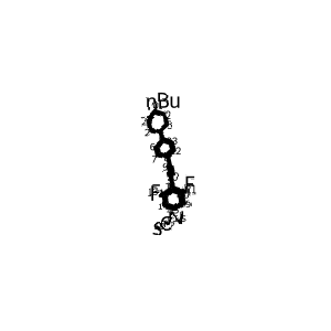 CCCCC1CCC(c2ccc(C#Cc3c(F)cc(N=C=S)cc3F)cc2)CC1